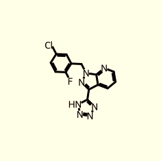 Fc1ccc(Cl)cc1Cn1nc(-c2nnn[nH]2)c2cccnc21